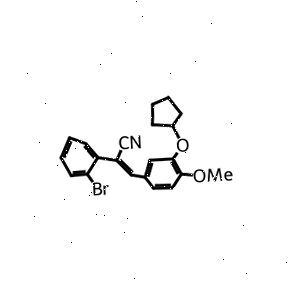 COc1ccc(/C=C(\C#N)c2ccccc2Br)cc1OC1CCCC1